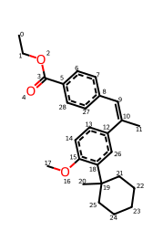 CCOC(=O)c1ccc(C=C(C)c2ccc(OC)c(C3(C)CCCCC3)c2)cc1